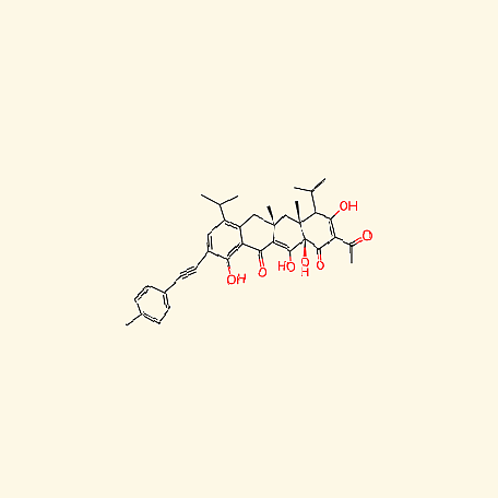 CC(=O)C1=C(O)C(C(C)C)[C@@]2(C)C[C@@]3(C)Cc4c(C(C)C)cc(C#Cc5ccc(C)cc5)c(O)c4C(=O)C3=C(O)[C@@]2(O)C1=O